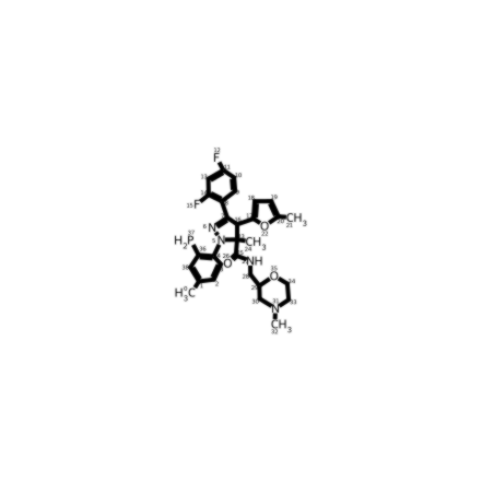 Cc1ccc(N2N=C(c3ccc(F)cc3F)C(c3ccc(C)o3)C2(C)C(=O)NCC2CN(C)CCO2)c(P)c1